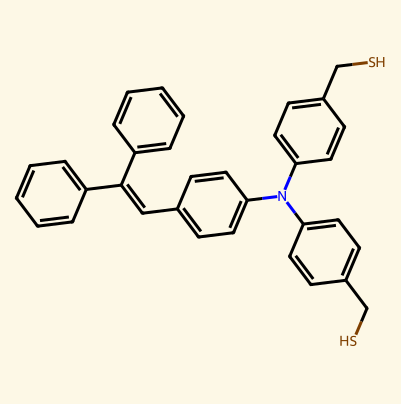 SCc1ccc(N(c2ccc(C=C(c3ccccc3)c3ccccc3)cc2)c2ccc(CS)cc2)cc1